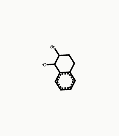 [O]C1c2ccccc2CCC1Br